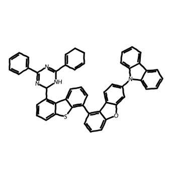 C1=CC(C2=NC(c3ccccc3)=NC(c3cccc4sc5c(-c6cccc7oc8cc(-n9c%10ccccc%10c%10ccccc%109)ccc8c67)cccc5c34)N2)=CCC1